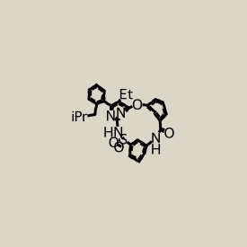 CCc1c2nc(nc1-c1ccccc1CC(C)C)NS(=O)(=O)c1cccc(c1)NC(=O)c1cccc(c1)O2